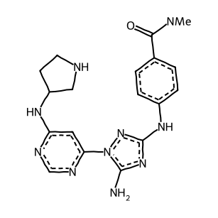 CNC(=O)c1ccc(Nc2nc(N)n(-c3cc(NC4CCNC4)ncn3)n2)cc1